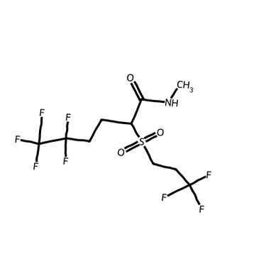 CNC(=O)C(CCC(F)(F)C(F)(F)F)S(=O)(=O)CCC(F)(F)F